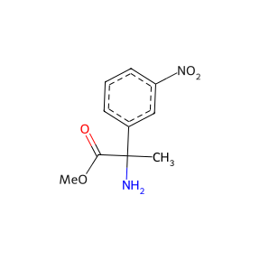 COC(=O)C(C)(N)c1cccc([N+](=O)[O-])c1